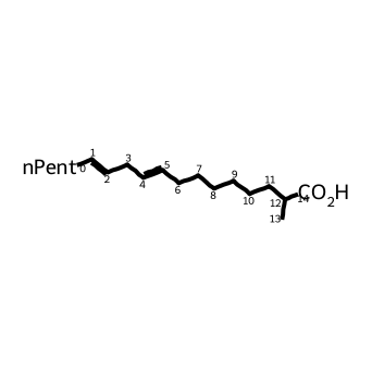 CCCCCC=CCC=CCCCCCCC(C)C(=O)O